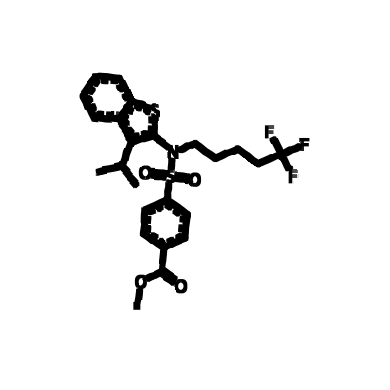 COC(=O)c1ccc(S(=O)(=O)N(CCCCC(F)(F)F)c2sc3ccccc3c2C(C)C)cc1